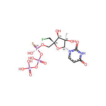 C[C@@]1(O)[C@H](O)[C@@](CF)(CO[P@](O)(=S)OP(=O)(O)OP(=O)(O)O)O[C@H]1n1ccc(=O)[nH]c1=O